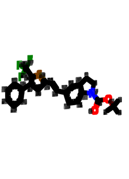 CC(C)(C)OC(=O)N1CCc2cc(C=Cc3cc(-c4ccccc4)c(C(F)(F)F)s3)ccc21